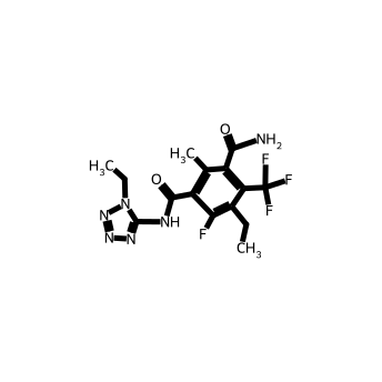 CCc1c(F)c(C(=O)Nc2nnnn2CC)c(C)c(C(N)=O)c1C(F)(F)F